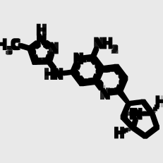 Cc1cc(Nc2cc3nc([C@H]4C[C@H]5CC[C@@H](C4)N5)ccc3c(N)n2)n[nH]1